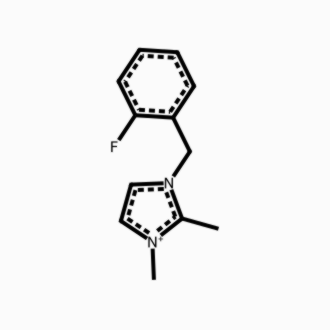 Cc1n(Cc2ccccc2F)cc[n+]1C